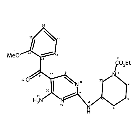 CCOC(=O)N1CCCC(Nc2ncc(C(=O)c3ccccc3OC)c(N)n2)C1